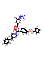 CC(C[CH]C(=O)NC(Cc1ccc(OCc2ccccc2)cc1)C(=O)N1CCC(Cc2ccccc2)CC1)C(N)=O